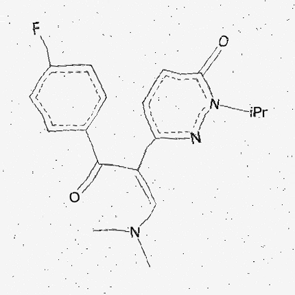 CC(C)n1nc(/C(=C/N(C)C)C(=O)c2ccc(F)cc2)ccc1=O